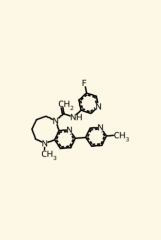 C=C(Nc1cncc(F)c1)N1CCCCN(C)c2ccc(-c3ccc(C)nc3)nc21